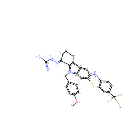 COc1ccc(Cn2c3c(c4cc(Nc5ccc(C(F)(F)F)cc5)c(F)cc42)CCC/C3=N\NC(=N)N)cc1